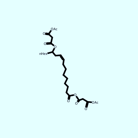 CCCCCCC(C/C=C\CCCCCCCC(=O)OC(=O)CC(=O)OC(C)=O)OC(=O)CC(=O)OC(C)=O